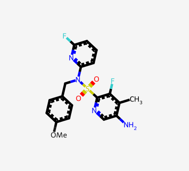 COc1ccc(CN(c2cccc(F)n2)S(=O)(=O)c2ncc(N)c(C)c2F)cc1